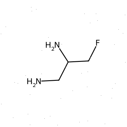 NCC(N)CF